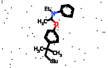 CCN(c1ccccc1)C(C)Oc1ccc(C(C)(C)CC(C)(C)C)cc1